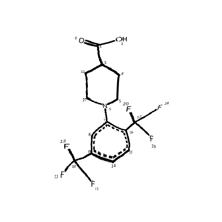 O=C(O)C1CCN(c2cc(C(F)(F)F)ccc2C(F)(F)F)CC1